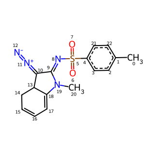 Cc1ccc(S(=O)(=O)N=C2C(=[N+]=[N-])C3CC=CC=C3N2C)cc1